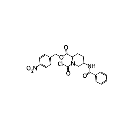 O=C(NC1CCC(C(=O)OCc2ccc([N+](=O)[O-])cc2)N(C(=O)Cl)C1)c1ccccc1